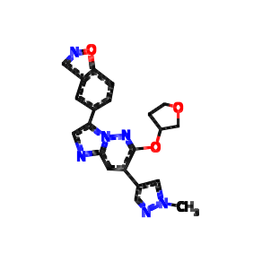 Cn1cc(-c2cc3ncc(-c4ccc5oncc5c4)n3nc2OC2CCOC2)cn1